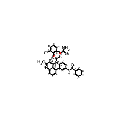 Cc1nc2cccc(-c3cccc(NC(=O)c4ccccc4)c3)c2c(N(C)C(=O)CNC(N)=O)c1OCc1c(Cl)cccc1Cl